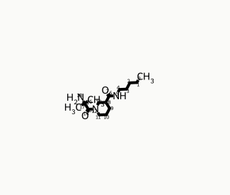 CCCCCNC(=O)C1CCCN(C(=O)C(C)(C)N)C1